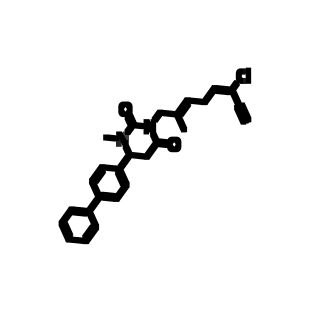 C#C/C(Cl)=C\C/C=C(\C)CN1C(=O)CC(c2ccc(-c3ccccc3)cc2)N(C)C1=O